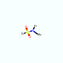 CCC(C)N(CC)S(=O)(=O)CC